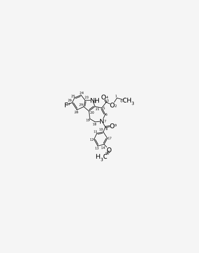 CCOC(=O)C1=CN(C(=O)c2cccc(OC)c2)CCc2c1[nH]c1ccc(F)cc21